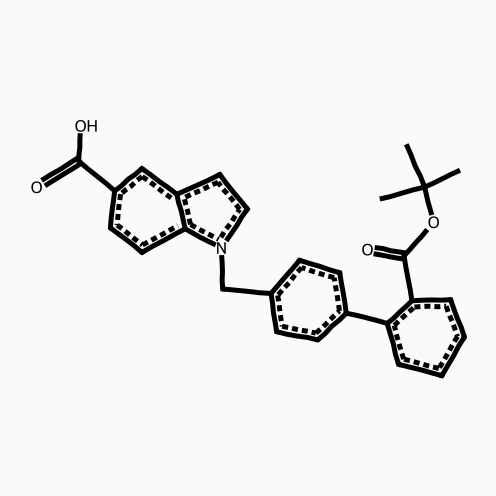 CC(C)(C)OC(=O)c1ccccc1-c1ccc(Cn2ccc3cc(C(=O)O)ccc32)cc1